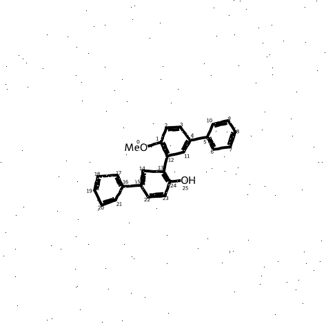 COc1ccc(-c2ccccc2)cc1-c1cc(-c2ccccc2)ccc1O